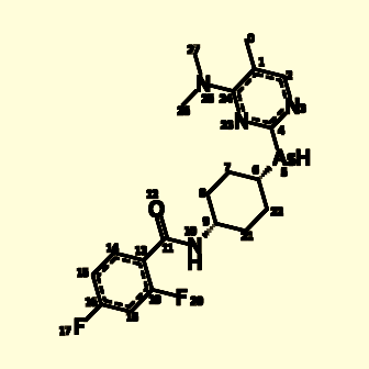 Cc1cnc([AsH][C@H]2CC[C@@H](NC(=O)c3ccc(F)cc3F)CC2)nc1N(C)C